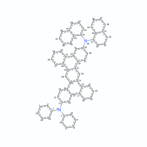 c1ccc(N(c2ccccc2)c2ccc3c(c2)c2ccccc2c2cc4c5ccc(N(c6cccc7ccccc67)c6cccc7ccccc67)cc5c5ccccc5c4cc32)cc1